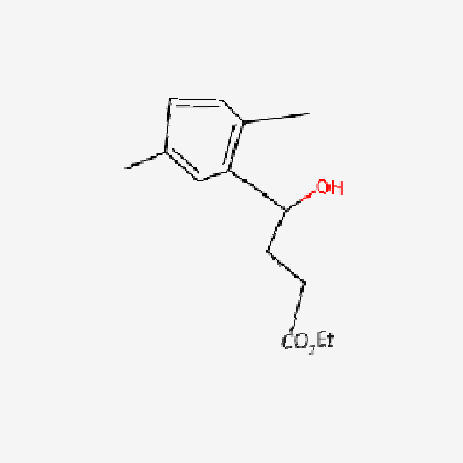 CCOC(=O)CCC(O)c1cc(C)ccc1C